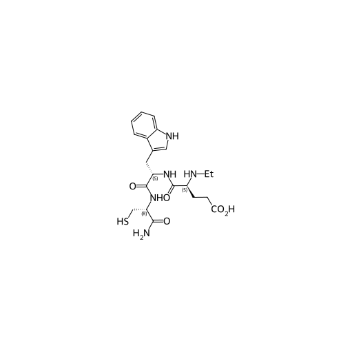 CCN[C@@H](CCC(=O)O)C(=O)N[C@@H](Cc1c[nH]c2ccccc12)C(=O)N[C@@H](CS)C(N)=O